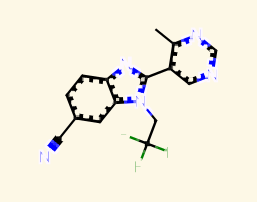 Cc1ncncc1-c1nc2ccc(C#N)cc2n1CC(F)(F)F